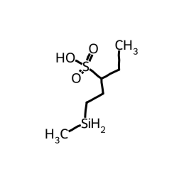 CCC(CC[SiH2]C)S(=O)(=O)O